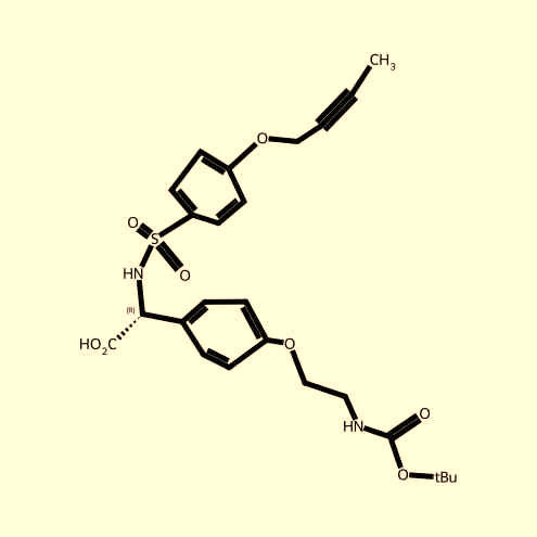 CC#CCOc1ccc(S(=O)(=O)N[C@@H](C(=O)O)c2ccc(OCCNC(=O)OC(C)(C)C)cc2)cc1